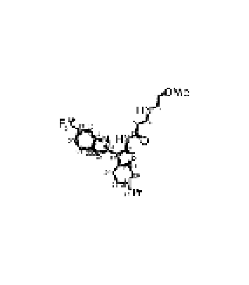 COCCNCCC(=O)Nc1sc2c(c1-c1nc3cc(C(F)(F)F)ccc3s1)CCN(C(C)C)C2